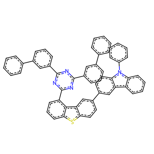 c1ccc(-c2cccc(-c3nc(-c4cccc(-c5ccccc5)c4)nc(-c4cccc5sc6ccc(-c7ccc8c(c7)c7ccccc7n8-c7ccccc7)cc6c45)n3)c2)cc1